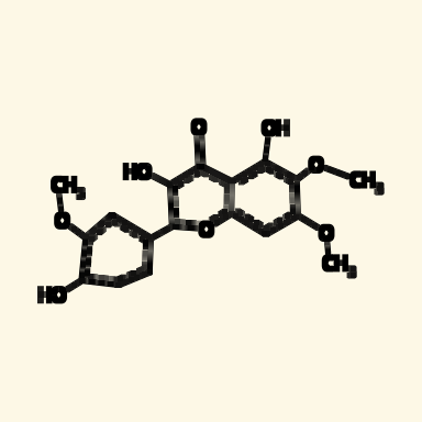 COc1cc(-c2oc3cc(OC)c(OC)c(O)c3c(=O)c2O)ccc1O